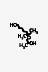 CCC(C)(CCCCCO)OCC(C)O